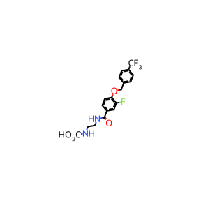 O=C(O)NCCNC(=O)c1ccc(OCc2ccc(C(F)(F)F)cc2)c(F)c1